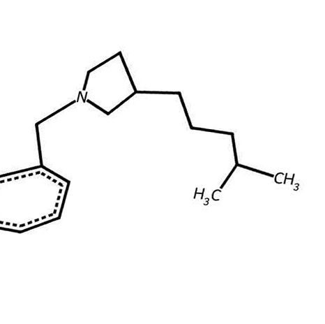 CC(C)CCCC1CCN(Cc2ccccc2)C1